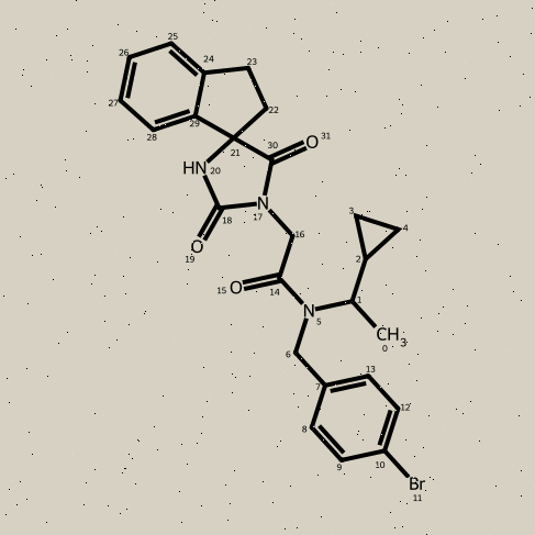 CC(C1CC1)N(Cc1ccc(Br)cc1)C(=O)CN1C(=O)NC2(CCc3ccccc32)C1=O